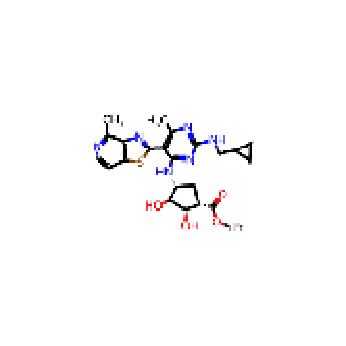 Cc1nc(NCC2CC2)nc(N[C@@H]2C[C@H](C(=O)OC(C)C)[C@@H](O)[C@H]2O)c1-c1nc2c(C)nccc2s1